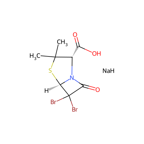 CC1(C)S[C@H]2N(C(=O)C2(Br)Br)[C@H]1C(=O)O.[NaH]